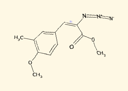 COC(=O)/C(=C\c1ccc(OC)c(C)c1)N=[N+]=[N-]